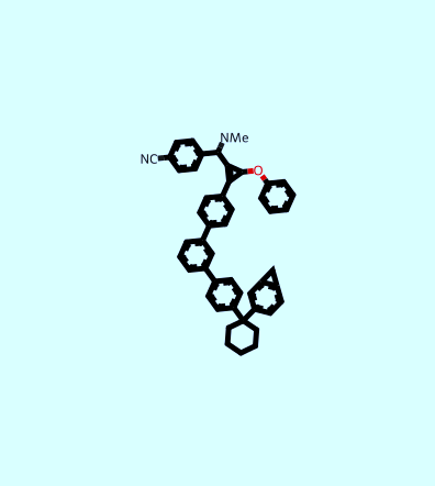 CNC(C1=C(c2ccc(-c3cccc(-c4ccc(C5(c6ccc7c(c6)C7)CCCCC5)cc4)c3)cc2)C1Oc1ccccc1)c1ccc(C#N)cc1